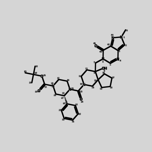 Cn1cc2ncn(CC3(O)CCN(C(=O)N4CCN(C(=O)OC(C)(C)C)C[C@H]4c4ccccc4)CC34CCCC4)c(=O)c2n1